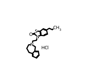 CCCc1ccc2c(c1)sc(=O)n2CCN1CCCc2ccccc2C1.Cl